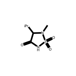 CC(C)C1C(=O)NS(=O)(=O)N1C